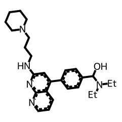 CCN(CC)C(O)c1ccc(-c2cc(NCCCN3CCCCC3)nc3ncccc23)cc1